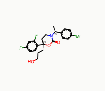 C[C@@H](c1ccc(Br)cc1)N1CC[C@](CCCO)(c2ccc(F)cc2F)OC1=O